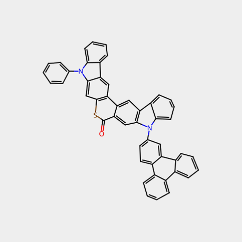 O=c1sc2cc3c(cc2c2cc4c5ccccc5n(-c5ccc6c7ccccc7c7ccccc7c6c5)c4cc12)c1ccccc1n3-c1ccccc1